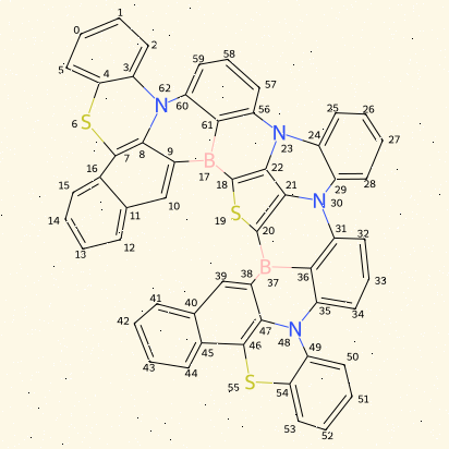 c1ccc2c(c1)Sc1c3c(cc4ccccc14)B1c4sc5c6c4N(c4ccccc4N6c4cccc6c4B5c4cc5ccccc5c5c4N6c4ccccc4S5)c4cccc(c41)N23